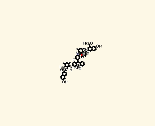 Cc1cc(C)c(NS(=O)(=O)c2cc(C(=O)O)c3cc(O)ccc3c2)c(C)c1/N=c1/cc2oc3cc(Nc4c(C)cc(C)c(NS(=O)(=O)c5ccc6cc(O)ccc6c5)c4C)ccc3c(-c3ccccc3S(=O)(=O)O)c-2cc1S(=O)(=O)O